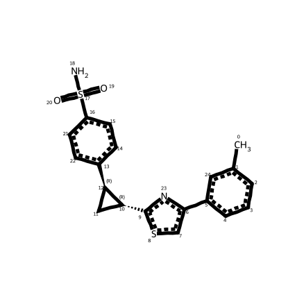 Cc1cccc(-c2csc([C@@H]3C[C@H]3c3ccc(S(N)(=O)=O)cc3)n2)c1